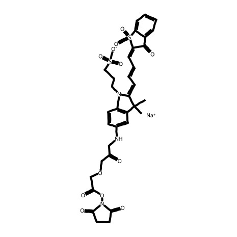 CC1(C)C(=CC=CC=C2C(=O)c3ccccc3S2(=O)=O)N(CCCS(=O)(=O)[O-])c2ccc(NCC(=O)COCC(=O)ON3C(=O)CCC3=O)cc21.[Na+]